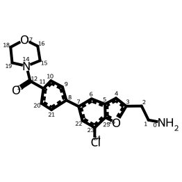 NCCc1cc2cc(-c3ccc(C(=O)N4CCOCC4)cc3)cc(Cl)c2o1